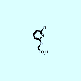 O=C(O)COc1cccc(Cl)n1